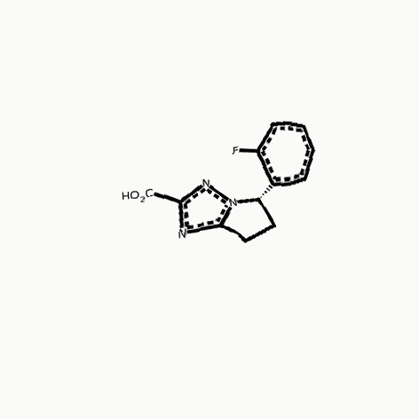 O=C(O)c1nc2n(n1)[C@H](c1ccccc1F)CC2